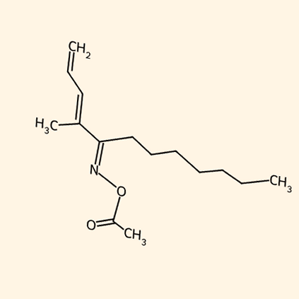 C=C/C=C(C)/C(CCCCCCC)=N/OC(C)=O